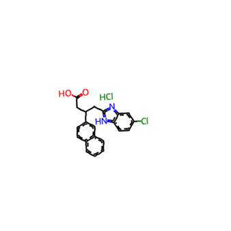 Cl.O=C(O)CC(Cc1nc2cc(Cl)ccc2[nH]1)c1ccc2ccccc2c1